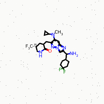 CN(c1cc2nc(C(N)C3CCC(F)(F)CC3)cn2nc1CC1C[C@@H](C(F)(F)F)CNC1=O)C1CC1